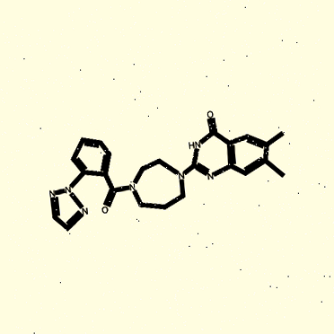 Cc1cc2nc(N3CCCN(C(=O)c4ccccc4-n4nccn4)CC3)[nH]c(=O)c2cc1C